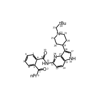 CCCC(=O)c1ccccc1C(=O)Nc1ccc2[nH]cc(C3CCN(CC(C)(C)C)CC3)c2n1